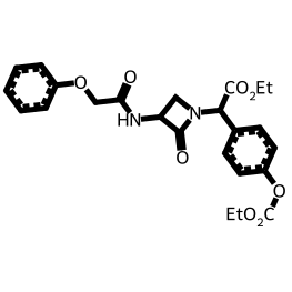 CCOC(=O)Oc1ccc(C(C(=O)OCC)N2CC(NC(=O)COc3ccccc3)C2=O)cc1